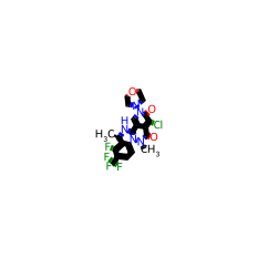 C[C@@H](Nc1nn(C)c(=O)c2c(Cl)c(=O)n(N3CCOCC3)cc12)c1cccc(C(F)(F)F)c1F